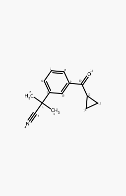 CC(C)(C#N)c1cccc(C(=O)C2CC2)c1